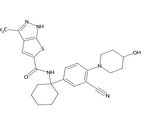 Cc1n[nH]c2sc(C(=O)NC3(c4ccc(N5CCC(O)CC5)c(C#N)c4)CCCCC3)cc12